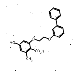 Cc1cc(O)cc(OCCOc2cccc(-c3ccccc3)c2)c1C(=O)O